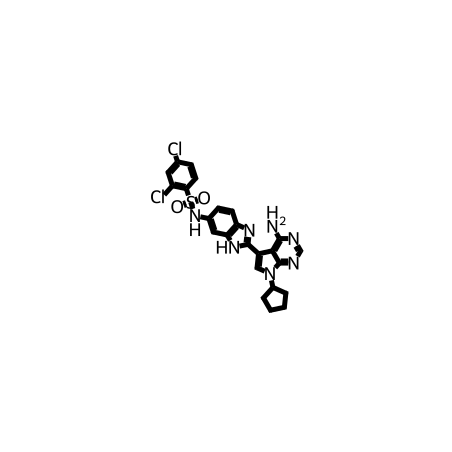 Nc1ncnc2c1c(-c1nc3ccc(NS(=O)(=O)c4ccc(Cl)cc4Cl)cc3[nH]1)cn2C1CCCC1